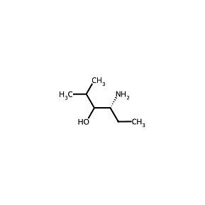 CC[C@@H](N)C(O)C(C)C